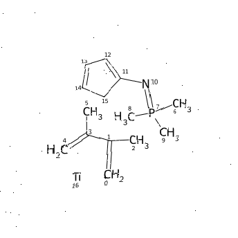 C=C(C)C(=C)C.CP(C)(C)=NC1=CC=CC1.[Ti]